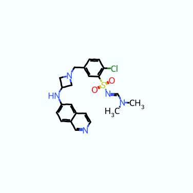 CN(C)/C=N/S(=O)(=O)c1cc(CN2CC(Nc3ccc4cnccc4c3)C2)ccc1Cl